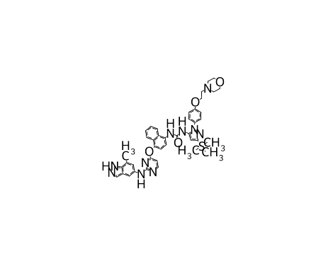 Cc1cc(Nc2nccc(Oc3ccc(NC(=O)Nc4cc(S(C)(C)C)nn4-c4ccc(OCCN5CCOCC5)cc4)c4ccccc34)n2)cc2cn[nH]c12